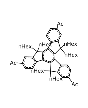 CCCCCCC1(CCCCCC)c2cc(C(C)=O)ccc2-c2c1c1c(c3c2C(CCCCCC)(CCCCCC)c2cc(C(C)=O)ccc2-3)C(CCCCCC)(CCCCCC)c2cc(C(C)=O)ccc2-1